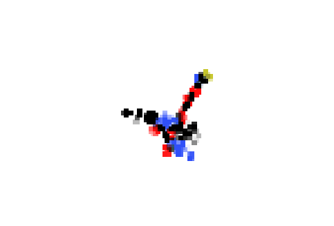 [CH2]c1ccc(NC(=O)[C@H](CCCNC(N)=O)NC(=O)[C@@H](NC(=O)COCCOCCOCCN=C=S)C(C)C)cc1